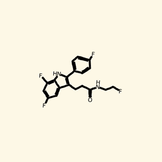 O=C(CCc1c(-c2ccc(F)cc2)[nH]c2c(F)cc(F)cc12)NCCF